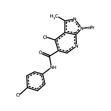 CCCn1nc(C)c2c(Cl)c(C(=O)Nc3ccc(Cl)cc3)cnc21